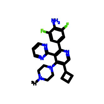 [2H]N1CCN(c2c(C3CCC3)cnc(-c3cc(F)c(N)c(F)c3)c2-c2ncccn2)CC1